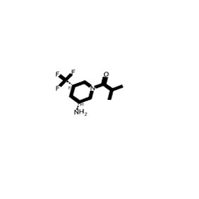 CC(C)C(=O)N1C[C@H](N)C[C@H](C(F)(F)F)C1